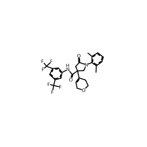 Cc1cccc(C)c1N1CC(C(=O)Nc2cc(C(F)(F)F)cc(C(F)(F)F)c2)(C2=CCOCC2)CC1=O